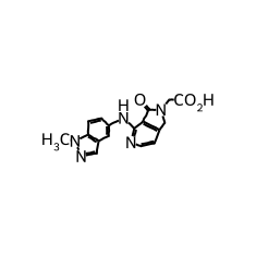 Cn1ncc2cc(Nc3nccc4c3C(=O)N(CC(=O)O)C4)ccc21